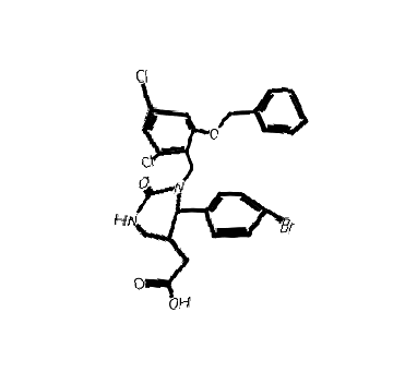 O=C(O)CC1CNC(=O)N(Cc2c(Cl)cc(Cl)cc2OCc2ccccc2)C1c1ccc(Br)cc1